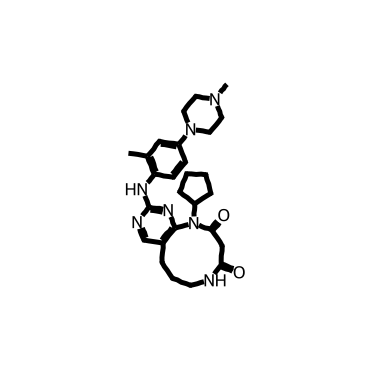 Cc1cc(N2CCN(C)CC2)ccc1Nc1ncc2c(n1)N(C1CCCC1)C(=O)CC(=O)NCCC2